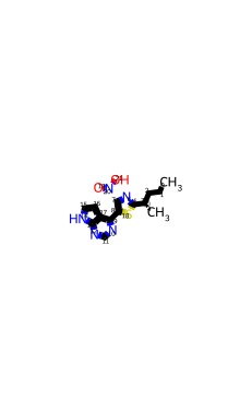 CCC[C@@H](C)c1ncc(-c2ncnc3[nH]ccc23)s1.O=NO